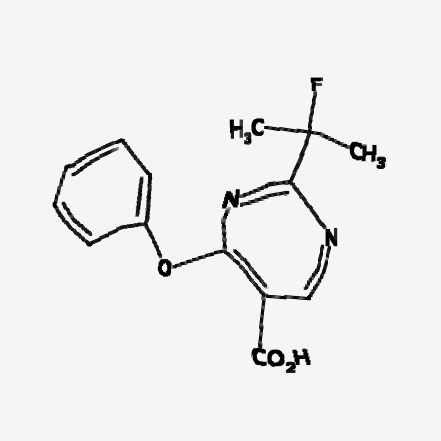 CC(C)(F)c1ncc(C(=O)O)c(Oc2ccccc2)n1